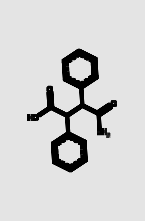 BC(=O)C(c1ccccc1)C(C(=O)O)c1ccccc1